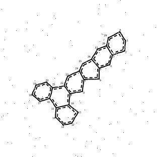 c1ccc2cc3cc4cc5c6ccccc6c6ccccc6c5cc4cc3cc2c1